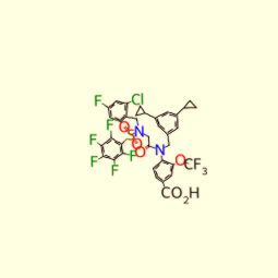 O=C(O)c1ccc(N(Cc2cc(C3CC3)cc(C3CC3)c2)C(=O)CN(Cc2ccc(F)cc2Cl)S(=O)(=O)c2c(F)c(F)c(F)c(F)c2F)c(OC(F)(F)F)c1